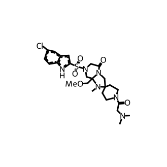 COCC12CN(S(=O)(=O)c3cc4cc(Cl)ccc4[nH]3)CC(=O)N1CC1(CCN(C(=O)CN(C)C)CC1)N2C